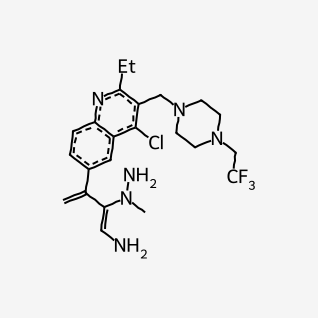 C=C(/C(=C/N)N(C)N)c1ccc2nc(CC)c(CN3CCN(CC(F)(F)F)CC3)c(Cl)c2c1